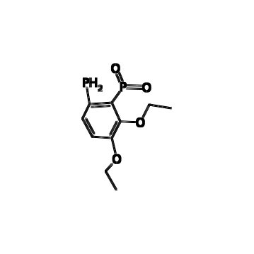 CCOc1ccc(P)c(P(=O)=O)c1OCC